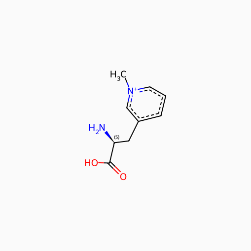 C[n+]1cccc(C[C@H](N)C(=O)O)c1